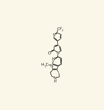 Cn1c2c(c3ccc(-n4ccc(-c5ccc(C(F)(F)F)nc5)cc4=O)nc31)CCNCC2